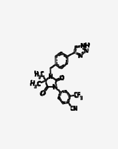 CC1(C)C(=O)N(c2ccc(C#N)c(C(F)(F)F)c2)C(=O)N1Cc1ccc(-c2c[nH]nn2)cc1